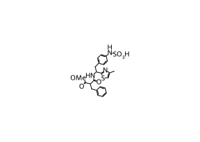 COC(=O)C(Cc1ccccc1)C(=O)NC(Cc1ccc(NS(=O)(=O)O)cc1)c1nc(C)cs1